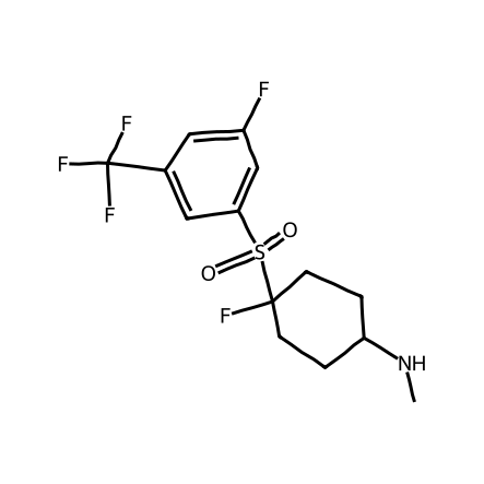 CNC1CCC(F)(S(=O)(=O)c2cc(F)cc(C(F)(F)F)c2)CC1